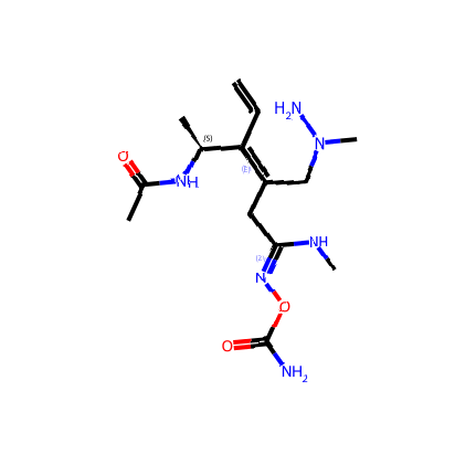 C=C/C(=C(/C/C(=N/OC(N)=O)NC)CN(C)N)[C@H](C)NC(C)=O